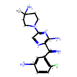 CC1(N)CCN(c2cnc(C(=N)c3cc(N)ccc3Cl)c(N)n2)CC1